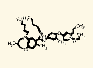 C/C=N\N1C=CC(Oc2ccc(N/C(=N/C=C/CCC)c3cc4c(cc3C)OCC(C)CN4CCCCC)cc2C)=C/C1=C\CC